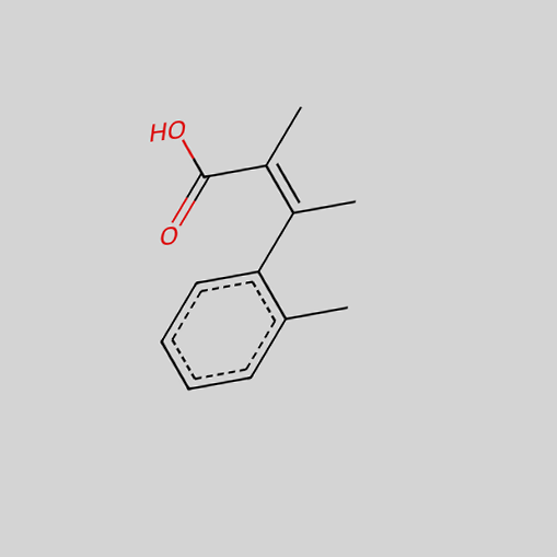 CC(C(=O)O)=C(C)c1ccccc1C